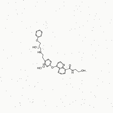 Cl.Cl.O=C(NCCO)c1cccc2c(Oc3ccc(CCNC[C@H](O)COc4ccccc4)cc3)ccnc12